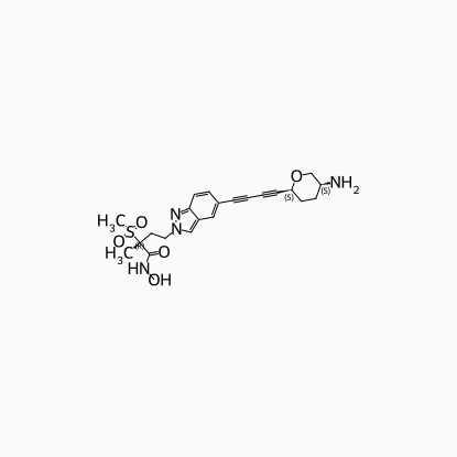 C[C@@](CCn1cc2cc(C#CC#C[C@@H]3CC[C@H](N)CO3)ccc2n1)(C(=O)NO)S(C)(=O)=O